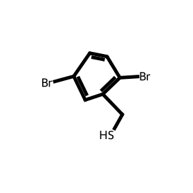 SCc1cc(Br)ccc1Br